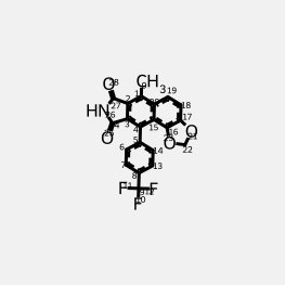 Cc1c2c(c(-c3ccc(C(F)(F)F)cc3)c3c4c(ccc13)OCO4)C(=O)NC2=O